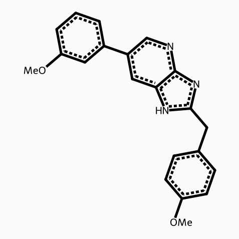 COc1ccc(Cc2nc3ncc(-c4cccc(OC)c4)cc3[nH]2)cc1